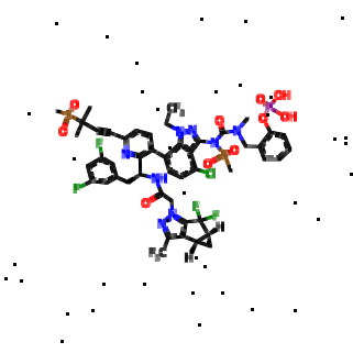 CN(Cc1ccccc1OP(=O)(O)O)C(=O)N(c1nn(CC(F)(F)F)c2c(-c3ccc(C#CC(C)(C)S(C)(=O)=O)nc3[C@H](Cc3cc(F)cc(F)c3)NC(=O)Cn3nc(C(F)(F)F)c4c3C(F)(F)[C@@H]3C[C@H]43)ccc(Cl)c12)S(C)(=O)=O